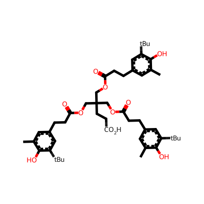 Cc1cc(CCC(=O)OCC(CCC(=O)O)(COC(=O)CCc2cc(C)c(O)c(C(C)(C)C)c2)COC(=O)CCc2cc(C)c(O)c(C(C)(C)C)c2)cc(C(C)(C)C)c1O